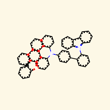 c1ccc(-c2ccccc2-c2cccc(N(c3ccc(-c4ccccc4-n4c5ccccc5c5ccccc54)cc3)c3ccccc3-c3ccc4c(c3)oc3ccccc34)c2)cc1